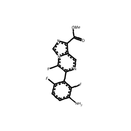 COC(=O)c1ncn2c(F)c(-c3c(F)ccc(N)c3F)ncc12